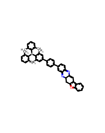 Cc1cccc(C)c1B(c1c(C)cccc1C)c1c(C)cc(-c2ccc(-c3ccc4c(c3)=NC3Cc5oc6ccccc6c5C=C3N=4)cc2)cc1C